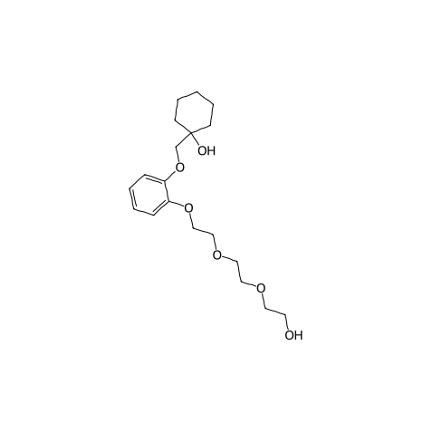 OCCOCCOCCOc1ccccc1OCC1(O)CCCCC1